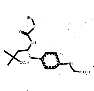 CC(C)(C)OC(=O)N[C@H](Cc1ccc(NCC(=O)O)cc1)CC(C)(C)C(=O)O